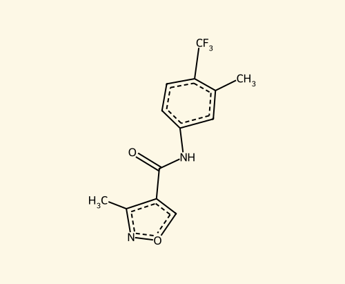 Cc1cc(NC(=O)c2conc2C)ccc1C(F)(F)F